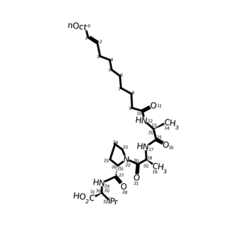 CCCCCCCCC=CCCCCCCCC(=O)N[C@@H](C)C(=O)N[C@@H](C)C(=O)N1CCC[C@H]1C(=O)N[C@H](C(=O)O)C(C)C